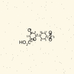 CS(=O)(=O)c1ccc(-c2cc(=O)cc(C(=O)O)o2)cc1